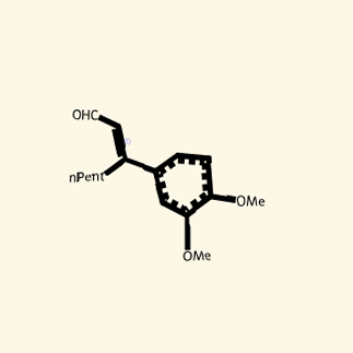 CCCCC/C(=C\C=O)c1ccc(OC)c(OC)c1